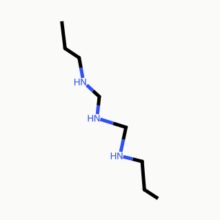 CCCNCNCNCCC